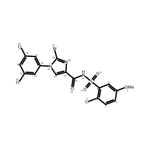 COc1ccc(Cl)c(S(=O)(=O)NC(=O)c2cn(-c3cc(Cl)cc(Cl)c3)c(Br)n2)c1